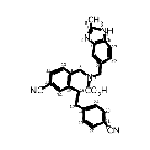 Cc1nc2cc(CN(Cc3ccc(C#N)cc3CCc3ccc(C#N)cc3)C(=O)O)ccc2[nH]1